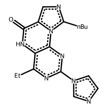 CCCCc1ncc2c(=O)[nH]c3c(CC)nc(-n4ccnc4)nc3n12